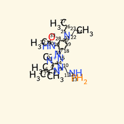 [C-]#[N+]c1c(C(C)(C)C)nn(CCNP)c1/N=N/c1ccc(N(CCC)CCC)cc1NC(C)=O